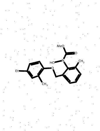 CCc1ccc(OCc2cccc(C)c2N(O)C(=O)OC)c(C)c1